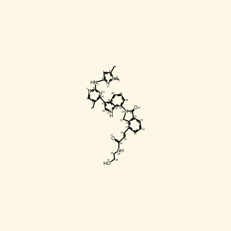 Cc1cnc(Nc2cc(C)n(C)n2)nc1-c1c[nH]c2c(N3Cc4c(/C=C/C(=O)NCCO)cccc4C3=O)cccc12